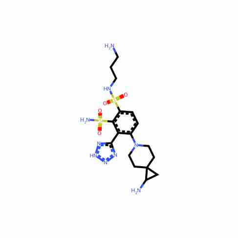 NCCCNS(=O)(=O)c1ccc(N2CCC3(CC2)CC3N)c(-c2nn[nH]n2)c1S(N)(=O)=O